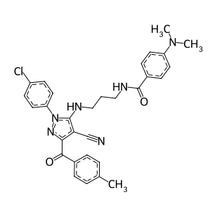 Cc1ccc(C(=O)c2nn(-c3ccc(Cl)cc3)c(NCCCNC(=O)c3ccc(N(C)C)cc3)c2C#N)cc1